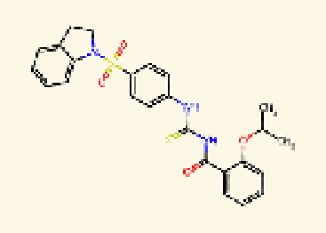 CC(C)Oc1ccccc1C(=O)NC(=S)Nc1ccc(S(=O)(=O)N2CCc3ccccc32)cc1